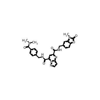 CN(C)C(=O)c1ccc(CNC(=O)c2cc(C(=O)NCc3ccc4oc(=O)n(C)c4c3)nc3ccnn23)cc1